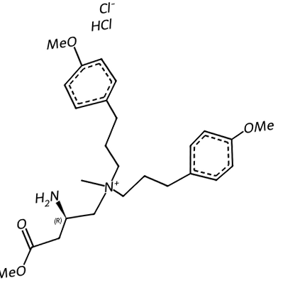 COC(=O)C[C@@H](N)C[N+](C)(CCCc1ccc(OC)cc1)CCCc1ccc(OC)cc1.Cl.[Cl-]